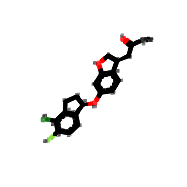 COC(=O)C[C@@H]1COc2cc(O[C@@H]3CCc4c3ccc(F)c4Cl)ccc21